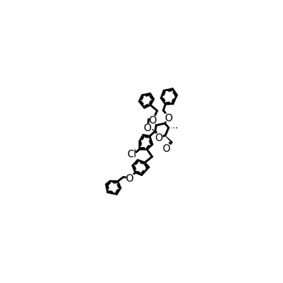 CO[C@@]1(c2ccc(Cl)c(Cc3ccc(OCc4ccccc4)cc3)c2)O[C@H](C=O)[C@@H](C)[C@H](OCc2ccccc2)[C@H]1OCc1ccccc1